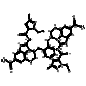 CCn1nc(C)cc1C(=O)Nc1nc2cc(C(N)=O)cc3c2n1[C@@H](Cc1ccccc1C[C@H]1COc2cc(C(N)=O)cc4nc(NC(=O)c5cc(C)nn5CC)n1c24)CO3